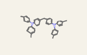 Cc1ccc(N(c2ccc(C)cc2)c2ccc(Cc3ccc(N(c4ccc(C)cc4)c4ccc(C)cc4)cc3)cc2)cc1